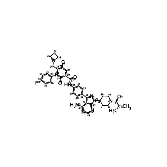 CC(C)C(=O)N1CCC(n2nc(-c3ccc(NC(=O)c4cc(Cl)c(CN5CCC5)n(-c5ccc(F)cc5)c4=O)cc3)c3c(N)ncnc32)CC1